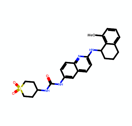 COc1cccc2c1C(Nc1ccc3cc(NC(=O)NC4CCS(=O)(=O)CC4)ccc3n1)CCC2